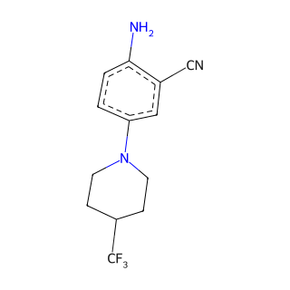 N#Cc1cc(N2CCC(C(F)(F)F)CC2)ccc1N